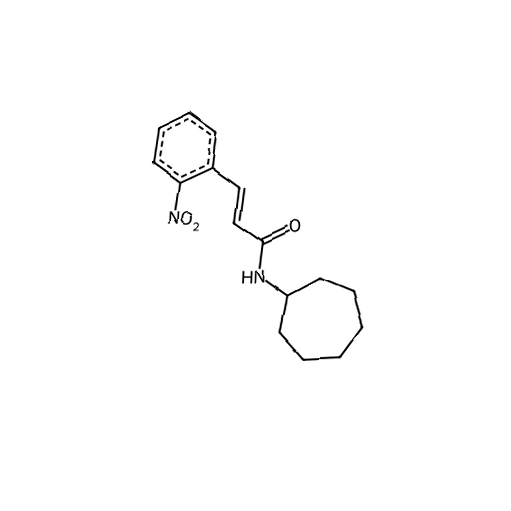 O=C(/C=C/c1ccccc1[N+](=O)[O-])NC1CCCCCC1